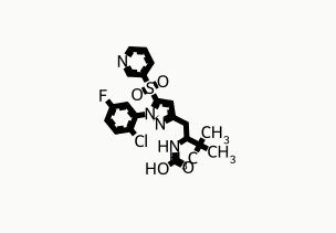 CC(C)(C)C(Cc1cc(S(=O)(=O)c2cccnc2)n(-c2cc(F)ccc2Cl)n1)NC(=O)O